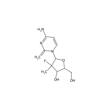 C=C1N=C(N)C=CN1C1OC(CO)C(O)C1(C)F